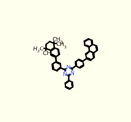 CC1(C)CCC(C)(C)c2cc(-c3cccc(-c4nc(-c5ccccc5)nc(-c5ccc(-c6ccc7ccc8ccccc8c7c6)cc5)n4)c3)ccc21